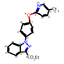 CCOC(=O)c1nn(-c2ccc(Oc3ccc(C(F)(F)F)cn3)cc2)c2ccccc12